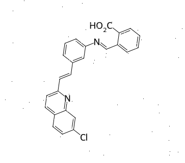 O=C(O)c1ccccc1C=Nc1cccc(C=Cc2ccc3ccc(Cl)cc3n2)c1